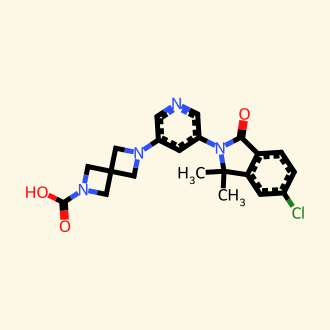 CC1(C)c2cc(Cl)ccc2C(=O)N1c1cncc(N2CC3(CN(C(=O)O)C3)C2)c1